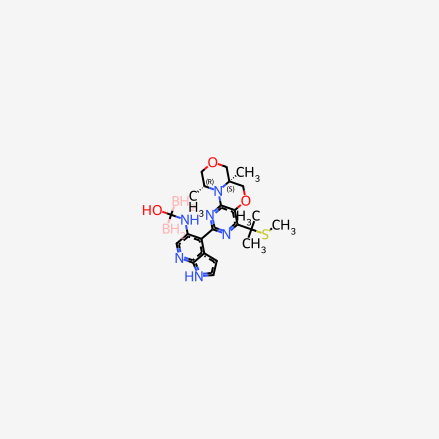 BC(B)(O)Nc1cnc2[nH]ccc2c1-c1nc2c(c(C(C)(C)SC)n1)OC[C@]1(C)COC[C@@H](C)N21